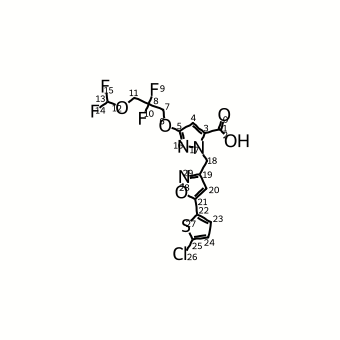 O=C(O)c1cc(OCC(F)(F)COC(F)F)nn1Cc1cc(-c2ccc(Cl)s2)on1